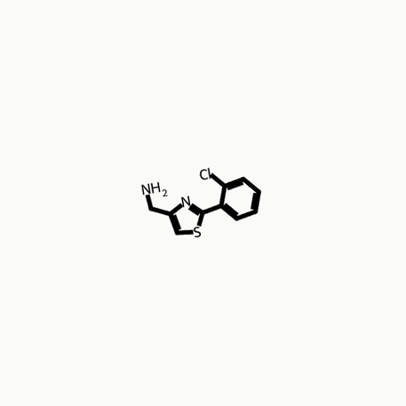 NCc1csc(-c2ccccc2Cl)n1